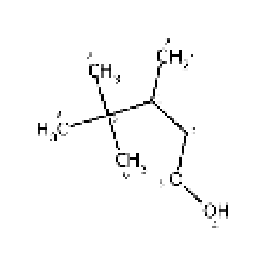 [CH2]C(COO)C(C)(C)C